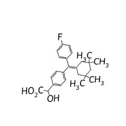 CC1(C)CC(=C(c2ccc(F)cc2)c2ccc(C(O)C(=O)O)cc2)CC(C)(C)C1